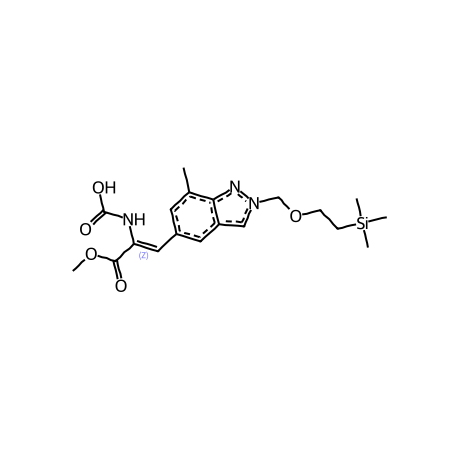 COC(=O)/C(=C/c1cc(C)c2nn(COCC[Si](C)(C)C)cc2c1)NC(=O)O